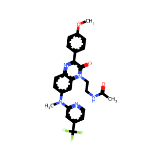 COc1ccc(-c2nc3ccc(N(C)c4cc(C(F)(F)F)ccn4)cc3n(CCNC(C)=O)c2=O)cc1